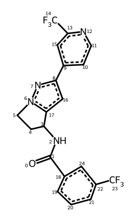 O=C(NC1CCn2nc(-c3ccnc(C(F)(F)F)c3)cc21)c1cccc(C(F)(F)F)c1